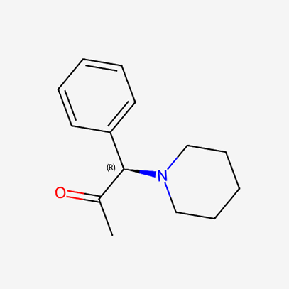 CC(=O)[C@@H](c1ccccc1)N1CCCCC1